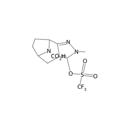 Cn1nc2c(c1OS(=O)(=O)C(F)(F)F)CC1CCC2N1C(=O)O